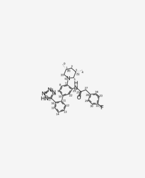 C[C@@H]1C[C@H](C)CN(c2ccc(-c3ccccc3-c3nnn[nH]3)cc2NC(=O)Cc2ccc(F)cc2)C1